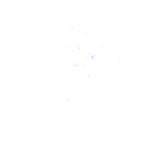 O=C(NC1(c2ccc(OC(F)(F)F)c(F)c2)CCOc2cccnc21)N1CCCC1